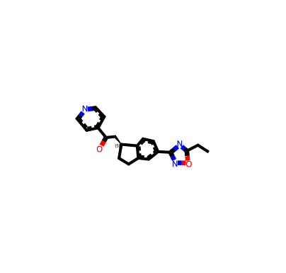 CCc1nc(-c2ccc3c(c2)CC[C@H]3CC(=O)c2ccncc2)no1